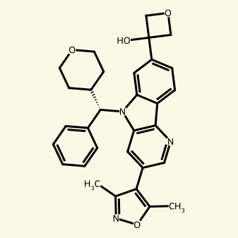 Cc1noc(C)c1-c1cnc2c3ccc(C4(O)COC4)cc3n([C@H](c3ccccc3)C3CCOCC3)c2c1